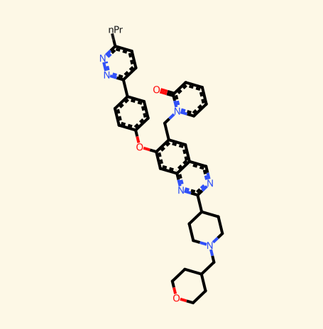 CCCc1ccc(-c2ccc(Oc3cc4nc(C5CCN(CC6CCOCC6)CC5)ncc4cc3Cn3ccccc3=O)cc2)nn1